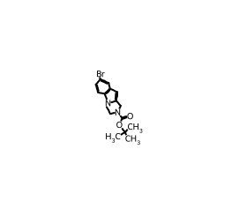 CC(C)(C)OC(=O)N1CCn2c(cc3cc(Br)ccc32)C1